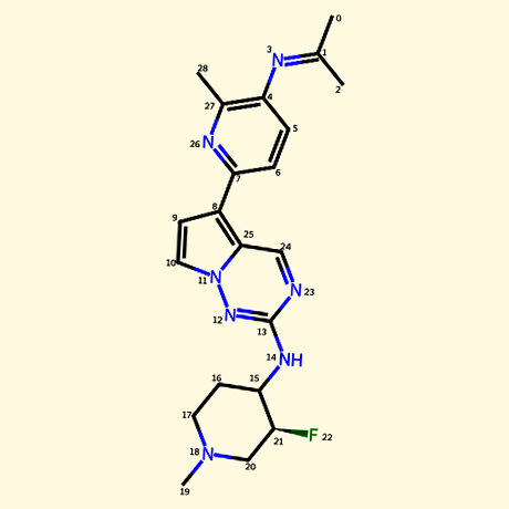 CC(C)=Nc1ccc(-c2ccn3nc(NC4CCN(C)C[C@@H]4F)ncc23)nc1C